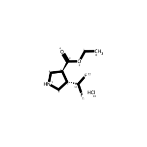 CCOC(=O)[C@@H]1CNC[C@H]1C(F)F.Cl